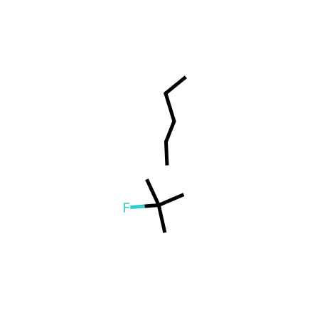 CC(C)(C)F.CCCCC